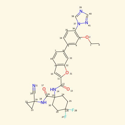 CCOc1cc(-c2ccc3cc(C(=O)NC4(C(=O)NC5(C#N)CC5)CCC(F)(F)CC4)oc3c2)ccc1-n1cncn1